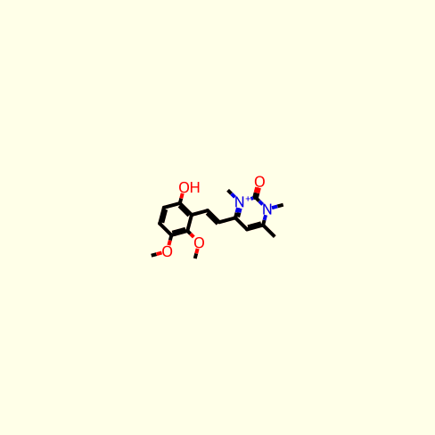 COc1ccc(O)c(C=Cc2cc(C)n(C)c(=O)[n+]2C)c1OC